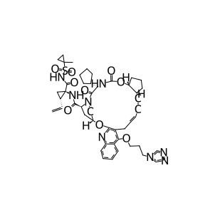 C=C[C@@H]1C[C@]1(NC(=O)[C@@H]1C[C@@H]2CN1C(=O)[C@H](C1CCCC1)NC(=O)O[C@@H]1CCC[C@H]1CCC=CCc1c(nc3ccccc3c1OCCCn1cnnc1)O2)C(=O)NS(=O)(=O)C1(C)CC1